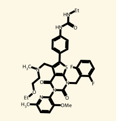 CCNC(=O)Nc1ccc(-c2sc3c(c2CN(C)CCOCC)c(=O)n(-c2nc(C)ccc2OC)c(=O)n3Cc2c(F)cccc2F)cc1